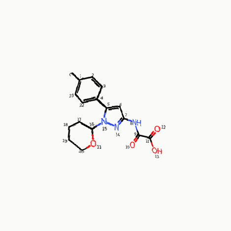 Cc1ccc(-c2cc(NC(=O)C(=O)O)nn2C2CCCCO2)cc1